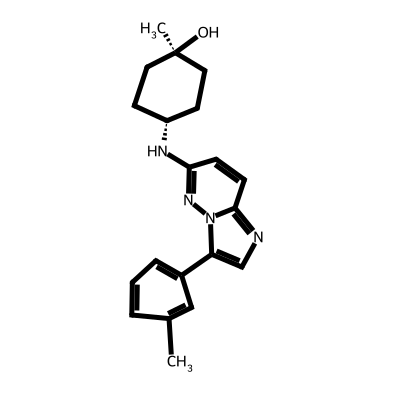 Cc1cccc(-c2cnc3ccc(N[C@H]4CC[C@](C)(O)CC4)nn23)c1